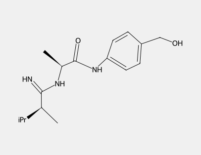 CC(C)[C@H](C)C(=N)N[C@@H](C)C(=O)Nc1ccc(CO)cc1